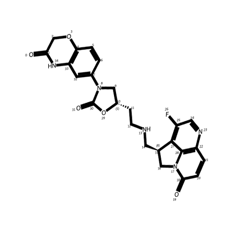 O=C1COc2ccc(N3C[C@H](CCNC[C@@H]4Cn5c(=O)ccc6ncc(F)c4c65)OC3=O)cc2N1